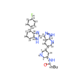 CCCCC(=O)Nc1cncc(-c2cnc3[nH]nc(-c4nc5c(-c6ccc(F)cc6)cccc5[nH]4)c3c2)c1